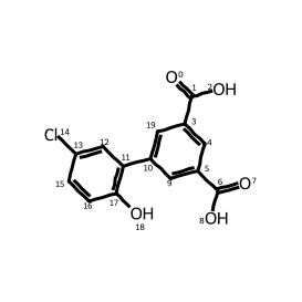 O=C(O)c1cc(C(=O)O)cc(-c2cc(Cl)ccc2O)c1